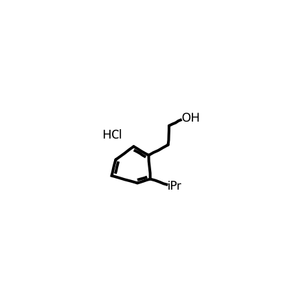 CC(C)c1ccccc1CCO.Cl